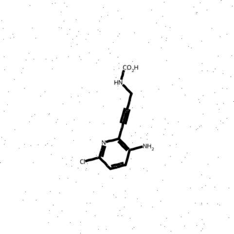 Nc1ccc(Cl)nc1C#CCNC(=O)O